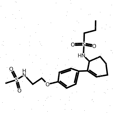 CCCS(=O)(=O)NC1CCCC=C1c1ccc(OCCNS(C)(=O)=O)cc1